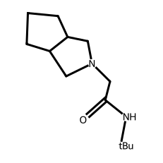 CC(C)(C)NC(=O)CN1CC2CCCC2C1